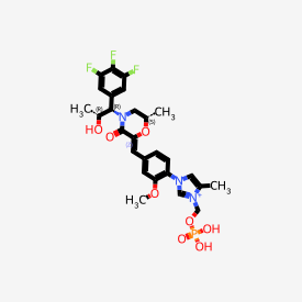 COc1cc(/C=C2\O[C@@H](C)CN([C@H](c3cc(F)c(F)c(F)c3)[C@@H](C)O)C2=O)ccc1-n1cc(C)[n+](COP(=O)(O)O)c1